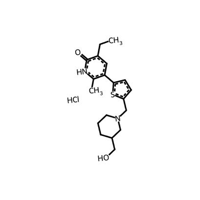 CCc1cc(-c2ccc(CN3CCCC(CO)C3)s2)c(C)[nH]c1=O.Cl